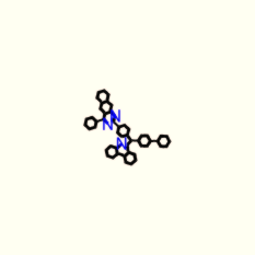 c1ccc(-c2ccc(-c3c4ccc(-c5nc(-c6ccccc6)c6cc7ccccc7cc6n5)cc4n4c5ccccc5c5ccccc5c34)cc2)cc1